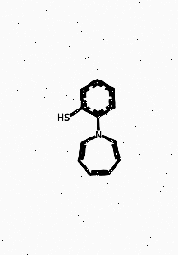 Sc1ccccc1N1C=CC=CC=C1